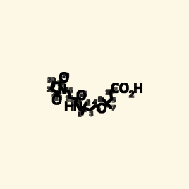 CC(C)(CCOC(C)(C)CCC(=O)O)NC(=O)CCN1C(=O)C=CC1=O